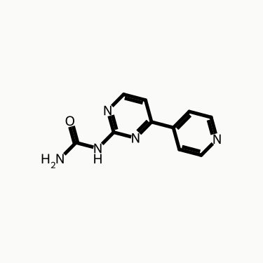 NC(=O)Nc1nccc(-c2ccncc2)n1